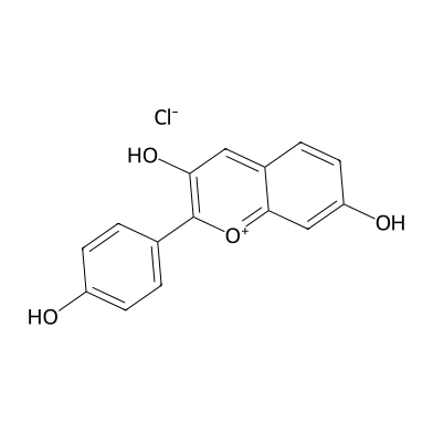 Oc1ccc(-c2[o+]c3cc(O)ccc3cc2O)cc1.[Cl-]